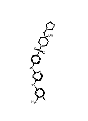 Cc1cc(Nc2ccnc(Nc3ccc(S(=O)(=O)N4CCC(O)(CN5CCSC5)CC4)cc3)n2)ccc1F